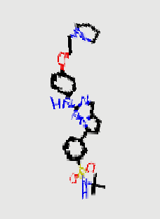 CC(C)(C)NS(=O)(=O)c1cccc(-c2ccc3cnc(Nc4ccc(OCCN5CCCC5)cc4)nn23)c1